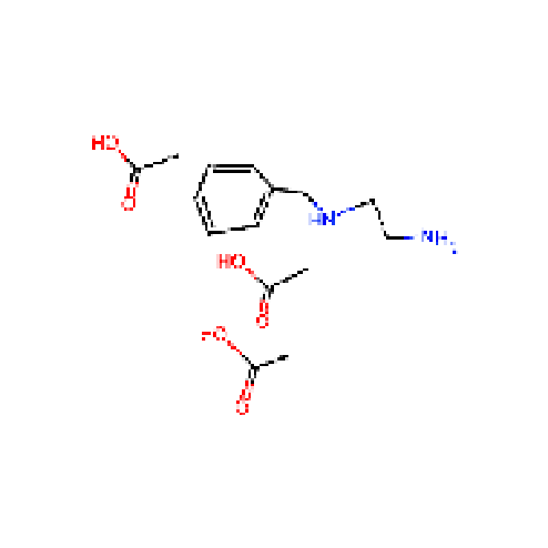 CC(=O)O.CC(=O)O.CC(=O)O.NCCNCc1ccccc1